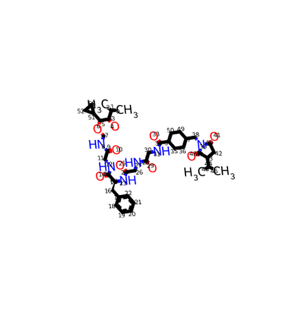 CC(C)C(=O)C(OCNC(=O)CNC(=O)[C@H](Cc1ccccc1)NC(=O)CNC(=O)CNC(=O)C1CCC(CN2C(=O)CC(C(C)C)C2=O)CC1)C1CC1